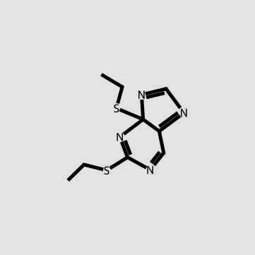 CCSC1=NC2(SCC)N=CN=C2C=N1